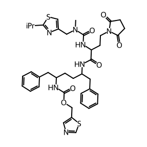 CC(C)c1nc(CN(C)C(=O)NC(CCN2C(=O)CCC2=O)C(=O)NC(CCC(Cc2ccccc2)NC(=O)OCc2cncs2)Cc2ccccc2)cs1